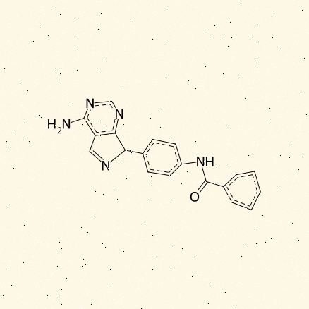 Nc1ncnc2c1C=NC2c1ccc(NC(=O)c2ccccc2)cc1